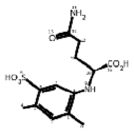 Cc1cc(C)c(S(=O)(=O)O)cc1N[C@@H](CCC(N)=O)C(=O)O